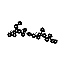 c1ccc(-c2cccc(-n3c4ccc(-c5cccc6c5c5ccccc5n6-c5ccc(-c6ccc7c(c6)Sc6cc8c(c9cccc-7c69)c6cc(-c7cccc9c7c7ccccc7n9-c7ccc9ccccc9c7)ccc6n8-c6ccccc6)cc5)cc4c4c5cccc6c5c(cc43)Sc3ccccc3-6)c2)cc1